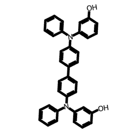 Oc1cccc(N(c2ccccc2)c2ccc(-c3ccc(N(c4ccccc4)c4cccc(O)c4)cc3)cc2)c1